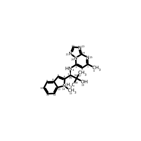 Cc1cc(N[C@H](c2cc3ccccc3n2C)C(C)(C)O)n2ncnc2n1